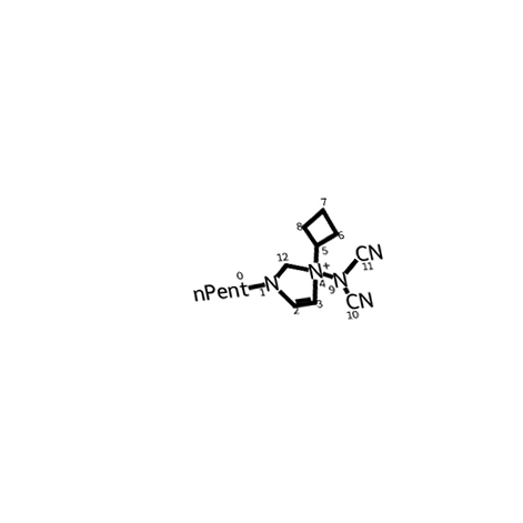 CCCCCN1C=C[N+](C2CCC2)(N(C#N)C#N)C1